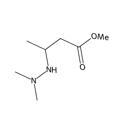 COC(=O)CC(C)NN(C)C